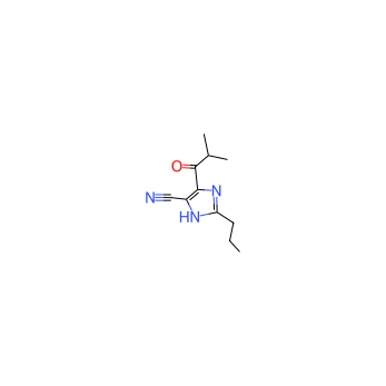 CCCc1nc(C(=O)C(C)C)c(C#N)[nH]1